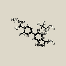 CNC(=O)c1ccc(-c2cc(O[C@H](C)C(F)(F)F)c3c(N)n[nH]c3c2)cc1F